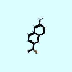 CC(=O)c1ccc2cc(C(C)Br)ccc2c1